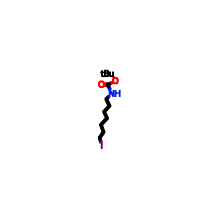 CC(C)(C)OC(=O)NCCCCCCCI